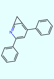 c1ccc(-c2cc(-c3ccccc3)c3c(n2)C3)cc1